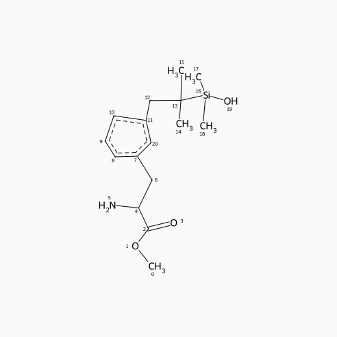 COC(=O)C(N)Cc1cccc(CC(C)(C)[Si](C)(C)O)c1